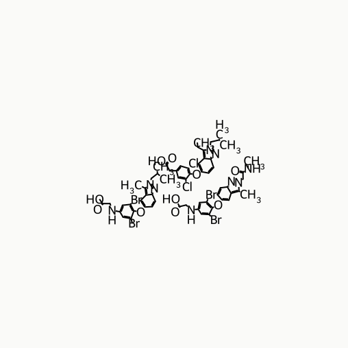 CCc1c2cc(Oc3c(Cl)cc(CC(=O)O)cc3Cl)ccc2nn1CC(C)C.CNC(=O)Cn1nc2ccc(Oc3c(Br)cc(NCC(=O)O)cc3Br)cc2c1C.Cc1c2cc(Oc3c(Br)cc(NCC(=O)O)cc3Br)ccc2nn1CC(C)C